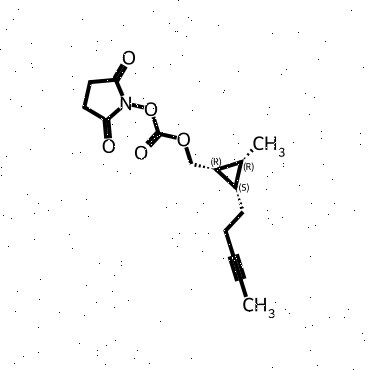 CC#CCC[C@H]1[C@@H](C)[C@H]1COC(=O)ON1C(=O)CCC1=O